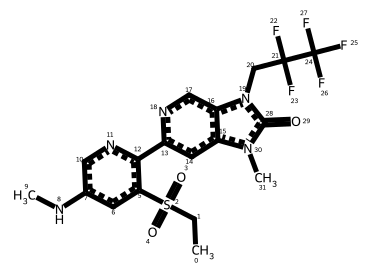 CCS(=O)(=O)c1cc(NC)cnc1-c1cc2c(cn1)n(CC(F)(F)C(F)(F)F)c(=O)n2C